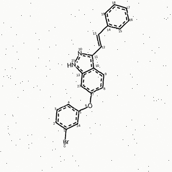 Brc1cccc(Oc2ccc3c(C=Cc4ccccc4)n[nH]c3c2)c1